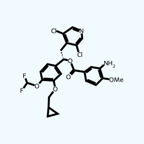 COc1ccc(C(=O)O[C@@H](Cc2c(Cl)cncc2Cl)c2ccc(OC(F)F)c(OCC3CC3)c2)cc1N